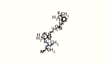 C=Nc1c(/C(N)=N\CC(/C=C\C)=C/C(=C)C#N)ncn1CCCCOC(=O)NCc1cccc(C(C)(C)F)c1